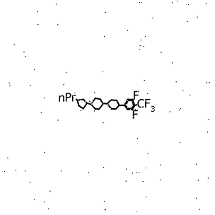 CCCC1CCC(C2CCC(C3CCC(c4cc(F)c(C(F)(F)F)c(F)c4)CC3)CC2)C1